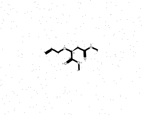 C=CCO[C@@H](CC(=O)OC)C(=O)OC